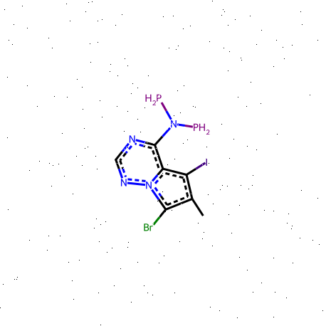 Cc1c(I)c2c(N(P)P)ncnn2c1Br